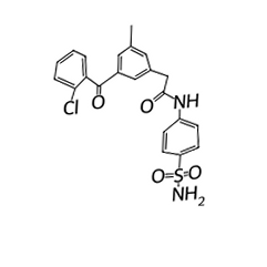 Cc1cc(CC(=O)Nc2ccc(S(N)(=O)=O)cc2)cc(C(=O)c2ccccc2Cl)c1